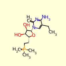 C=C1N=C(N)C(CC)=CN1[C@@H]1O[C@H](CCP(=C)(C)C)[C@@H](O)[C@H]1O